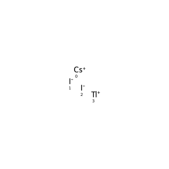 [Cs+].[I-].[I-].[Tl+]